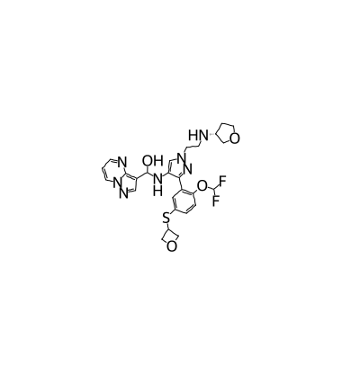 OC(Nc1cn(CCN[C@@H]2CCOC2)nc1-c1cc(SC2COC2)ccc1OC(F)F)c1cnn2cccnc12